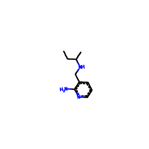 CCC(C)NCc1cccnc1N